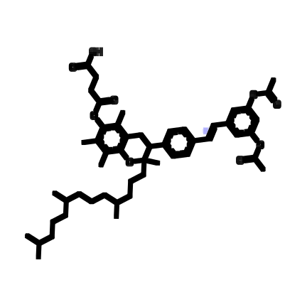 CC(=O)Oc1cc(/C=C/c2ccc(C3Cc4c(C)c(OC(=O)CCC(=O)O)c(C)c(C)c4OC3(C)CCCC(C)CCCC(C)CCCC(C)C)cc2)cc(OC(C)=O)c1